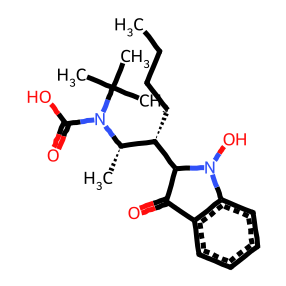 CCCC[C@H](C1C(=O)c2ccccc2N1O)[C@H](C)N(C(=O)O)C(C)(C)C